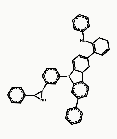 C1=CC(C2=CC=C3C(C2)c2ccc(-c4ccccc4)cc2N3c2cccc([C@H]3NC3c3ccccc3)c2)=C(Nc2ccccc2)CC1